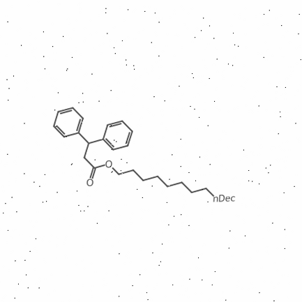 CCCCCCCCCCCCCCCCCCOC(=O)CC(c1ccccc1)c1ccccc1